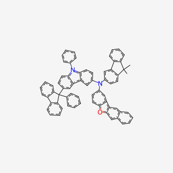 CC1(C)c2ccccc2-c2cc(N(c3ccc4oc5cc6ccccc6cc5c4c3)c3ccc4c(c3)c3cc(C5(c6ccccc6)c6ccccc6-c6ccccc65)ccc3n4-c3ccccc3)ccc21